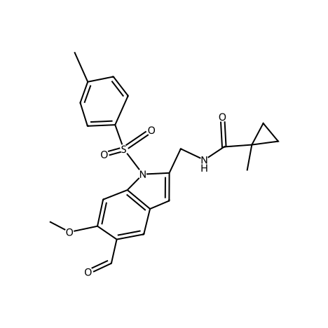 COc1cc2c(cc1C=O)cc(CNC(=O)C1(C)CC1)n2S(=O)(=O)c1ccc(C)cc1